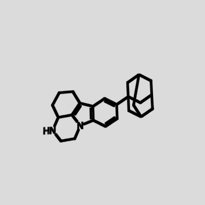 c1cc2c(cc1C13CC4CC(CC(C4)C1)C3)c1c3n2CCNC3CCC1